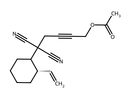 C=C[C@@H]1CCCCC1C(C#N)(C#N)CC#CCOC(C)=O